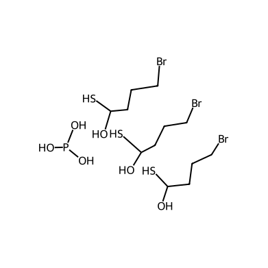 OC(S)CCCBr.OC(S)CCCBr.OC(S)CCCBr.OP(O)O